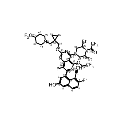 C#Cc1c(F)ccc2cc(O)cc(-c3nc(OCC(F)(F)F)c4c(N5CC(CC)N(C(=O)C(F)(F)F)C(CC)C5)nc(OCC5(CN6CCC(C(F)(F)F)CC6)CC5)nc4c3F)c12